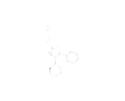 O=CCSc1nc(-c2ccccc2)c(-c2ccccc2)s1